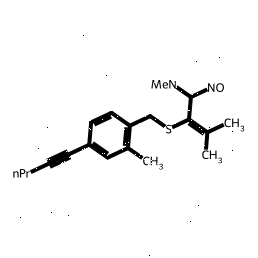 CCCC#Cc1ccc(CSC(=C(C)C)C(N=O)NC)c(C)c1